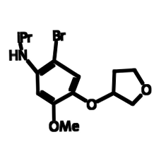 COc1cc(NC(C)C)c(Br)cc1OC1CCOC1